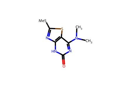 CSc1nc2[nH]c(=O)nc(N(C)C)c2s1